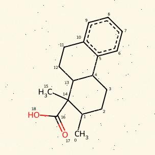 CC1CCC2c3ccccc3CCC2C1(C)C(=O)O